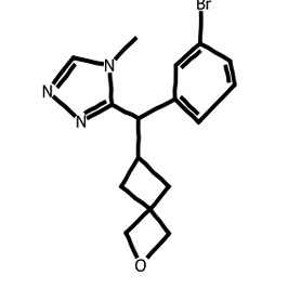 Cn1cnnc1C(c1cccc(Br)c1)C1CC2(COC2)C1